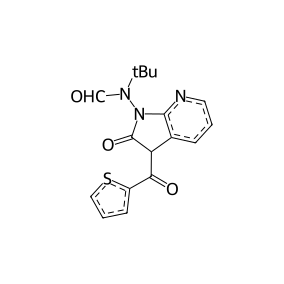 CC(C)(C)N(C=O)N1C(=O)C(C(=O)c2cccs2)c2cccnc21